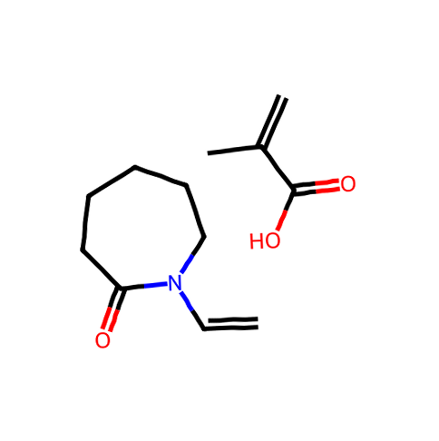 C=C(C)C(=O)O.C=CN1CCCCCC1=O